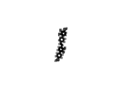 COc1ccc(C2CCC(/C=C/c3ccc(C4CCC(OC)CC4)c(F)c3F)CC2)c(F)c1F